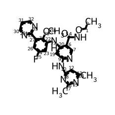 CCONC(=O)c1cnc(Nc2cc(C)nc(C)n2)cc1Nc1cc(F)cc(-c2ncccn2)c1OC